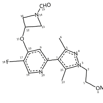 COCCn1nc(C)c(-c2cc(OC3CN(C=O)C3)c(F)cn2)c1C